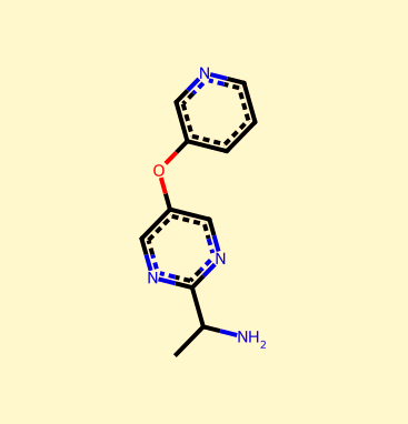 CC(N)c1ncc(Oc2cccnc2)cn1